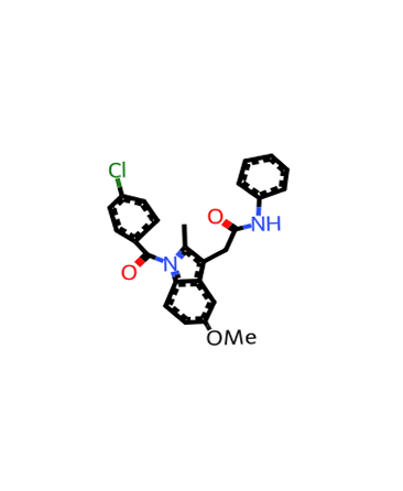 COc1ccc2c(c1)c(CC(=O)Nc1ccccc1)c(C)n2C(=O)c1ccc(Cl)cc1